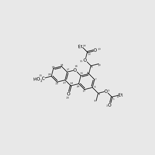 CCC(=O)OC(C)c1cc(C(C)OC(=O)CC)c2oc3ccc(C(=O)O)cc3c(=O)c2c1